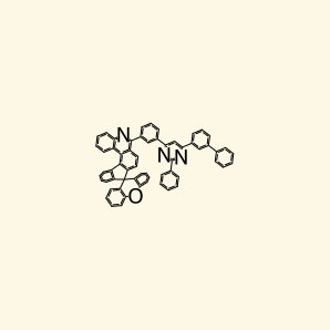 c1ccc(-c2cccc(-c3cc(-c4cccc(-c5nc6ccccc6c6c7c(ccc56)C5(c6ccccc6Oc6ccccc65)c5ccccc5-7)c4)nc(-c4ccccc4)n3)c2)cc1